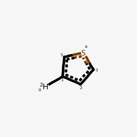 [2H]c1ccsc1